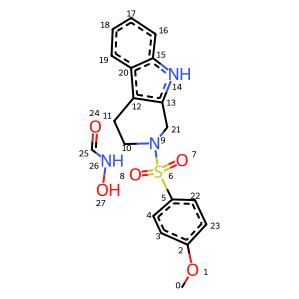 COc1ccc(S(=O)(=O)N2CCc3c([nH]c4ccccc34)C2)cc1.O=CNO